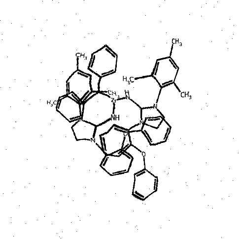 Cc1cc(C)c(N2CCN(c3ccccc3Oc3ccccc3)C2[NH][Zr]([NH]C2N(c3ccccc3Oc3ccccc3)CCN2c2c(C)cc(C)cc2C)[CH](c2ccccc2)c2ccccc2)c(C)c1